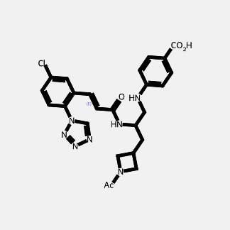 CC(=O)N1CC(CC(CNc2ccc(C(=O)O)cc2)NC(=O)/C=C/c2cc(Cl)ccc2-n2cnnn2)C1